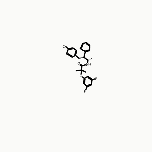 C[C@H](NC(=O)C(C)(C)Oc1cc(F)cc(F)c1)[C@@H](Cc1ccc(Cl)cc1)c1ccccc1